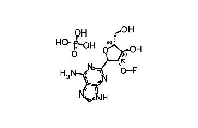 Nc1nc(C2O[C@H](CO)[C@@H](O)[C@@H]2OF)nc2[nH]cnc12.O=P(O)(O)O